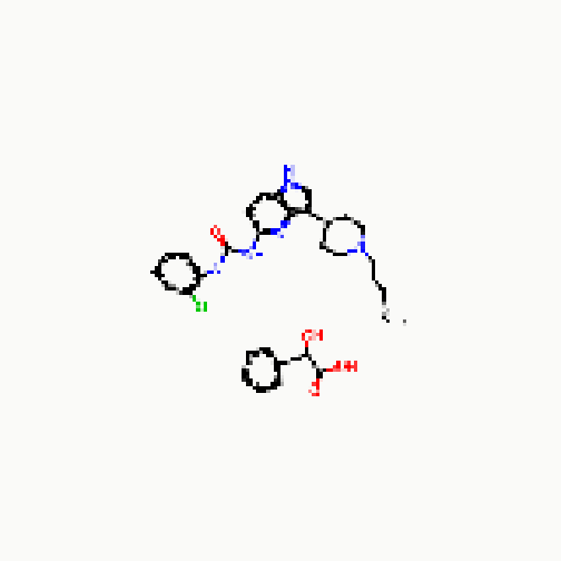 CCCCN1CCC(c2c[nH]c3ccc(NC(=O)Nc4ccccc4Cl)nc23)CC1.O=C(O)C(O)c1ccccc1